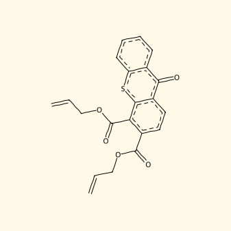 C=CCOC(=O)c1ccc2c(=O)c3ccccc3sc2c1C(=O)OCC=C